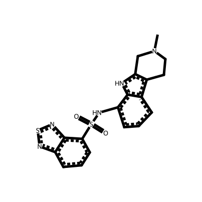 CN1CCc2c([nH]c3c(NS(=O)(=O)c4cccc5nsnc45)cccc23)C1